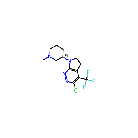 CN1CCC[C@@H](N2CCc3c2nnc(Cl)c3C(F)(F)F)C1